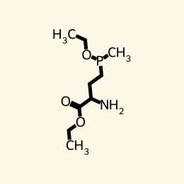 CCOC(=O)C(N)CCP(C)OCC